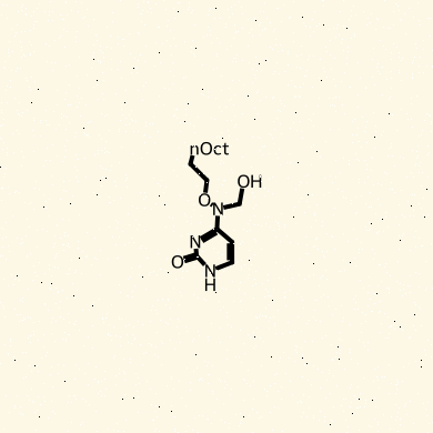 CCCCCCCCCCON(CO)c1cc[nH]c(=O)n1